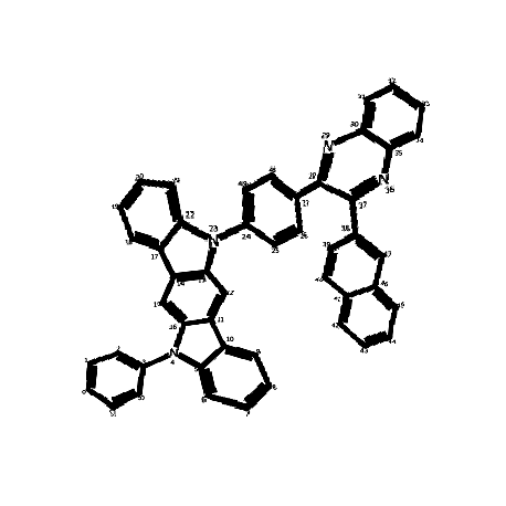 c1ccc(-n2c3ccccc3c3cc4c(cc32)c2ccccc2n4-c2ccc(-c3nc4ccccc4nc3-c3ccc4ccccc4c3)cc2)cc1